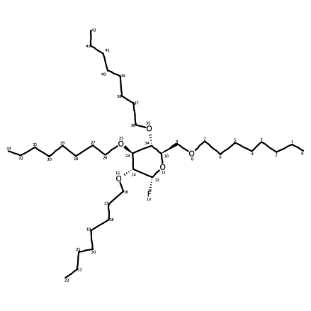 CCCCCCCCOC[C@H]1O[C@H](F)[C@H](OCCCCCCCC)[C@@H](OCCCCCCCC)[C@@H]1OCCCCCCCC